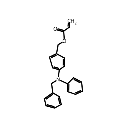 C=CC(=O)OCc1ccc(N(Cc2ccccc2)c2ccccc2)cc1